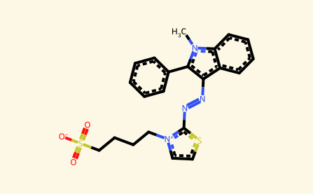 Cn1c(-c2ccccc2)c(/N=N/c2scc[n+]2CCCCS(=O)(=O)[O-])c2ccccc21